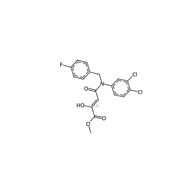 COC(=O)/C(O)=C/C(=O)N(Cc1ccc(F)cc1)c1ccc(Cl)c(Cl)c1